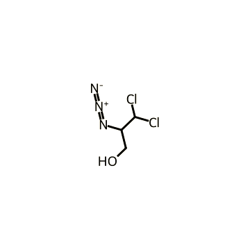 [N-]=[N+]=NC(CO)C(Cl)Cl